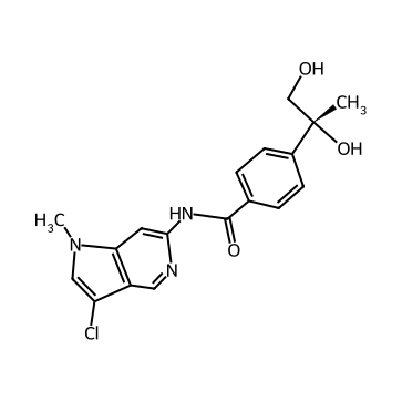 Cn1cc(Cl)c2cnc(NC(=O)c3ccc([C@@](C)(O)CO)cc3)cc21